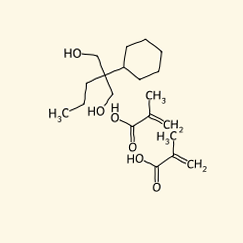 C=C(C)C(=O)O.C=C(C)C(=O)O.CCCC(CO)(CO)C1CCCCC1